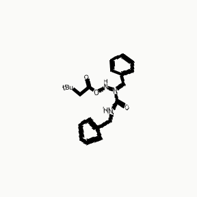 CC(C)(C)CC(=O)ONN(Cc1ccccc1)C(=O)NCc1ccccc1